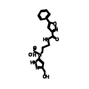 O=C(NCCCN(c1cc(CO)n[nH]1)[SH](=O)=O)c1cc(-c2ccccc2)on1